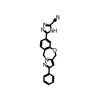 N#Cc1nnc(-c2ccc3c(c2)OCc2cc(-c4ccccc4)nn2C3)[nH]1